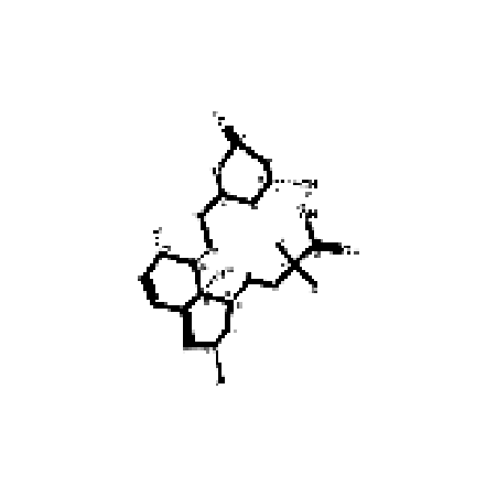 C[C@H]1C=C2C=C[C@H](C)[C@H](CCC3C[C@@H](O)CC(=O)O3)[C@H]2[C@@H](CCC(C)(C)C(=O)O)C1